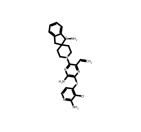 C=Cc1nc(Sc2ccnc(N)c2Cl)c(N)nc1N1CCC2(CC1)Cc1ccccc1[C@H]2N